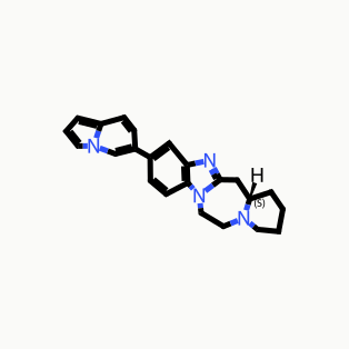 c1cc2ccc(-c3ccc4c(c3)nc3n4CCN4CCCC[C@H]4C3)cn2c1